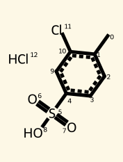 Cc1ccc(S(=O)(=O)O)cc1Cl.Cl